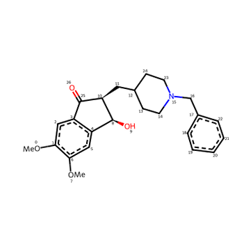 COc1cc2c(cc1OC)[C@H](O)[C@H](CC1CCN(Cc3ccccc3)CC1)C2=O